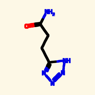 NC(=O)CCc1nnn[nH]1